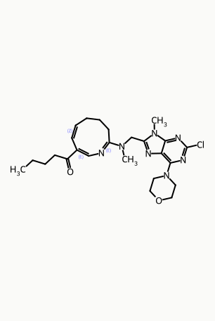 CCCCC(=O)C1=C/N=C(/N(C)Cc2nc3c(N4CCOCC4)nc(Cl)nc3n2C)CCC/C=C\1